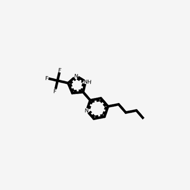 CCCCc1ccnc(-c2cc(C(F)(F)F)n[nH]2)c1